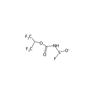 O=C(N[S+]([O-])F)OC(C(F)(F)F)C(F)(F)F